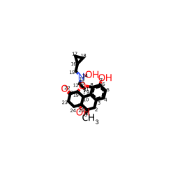 CC1Cc2ccc(O)c3c2[C@]2(CCN(O)CC4CC4)C(O3)C(=O)CCC12O